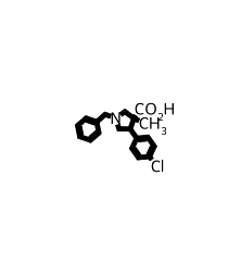 CC1(C(=O)O)CN(Cc2ccccc2)CC1c1ccc(Cl)cc1